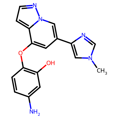 Cn1cnc(-c2cc(Oc3ccc(N)cc3O)c3ccnn3c2)c1